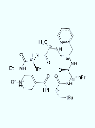 CCC[C@H](NC(=O)[C@H](CC(C)(C)C)NC(=O)C1=CC[NH+]([O-])C=C1)C(=O)N[C@H](CN[C@@H](C)C(=O)N[C@H](C(=O)NCC)C(C)C)Cc1ccccn1